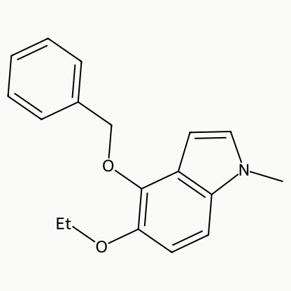 CCOc1ccc2c(ccn2C)c1OCc1ccccc1